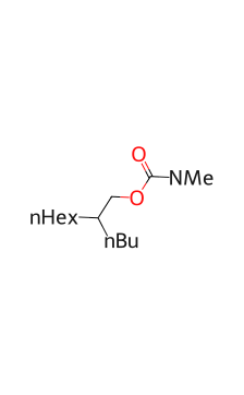 CCCCCCC(CCCC)COC(=O)NC